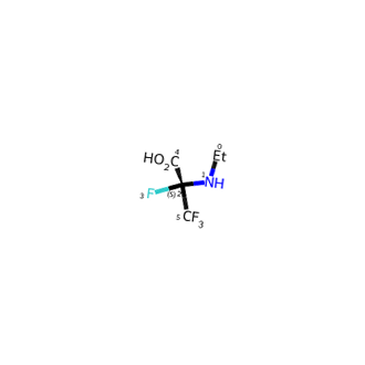 CCN[C@](F)(C(=O)O)C(F)(F)F